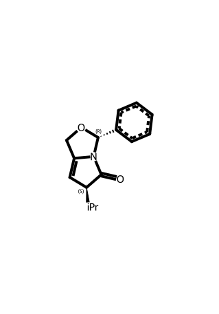 CC(C)[C@H]1C=C2CO[C@H](c3ccccc3)N2C1=O